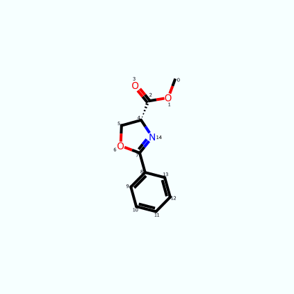 COC(=O)[C@H]1COC(c2ccccc2)=N1